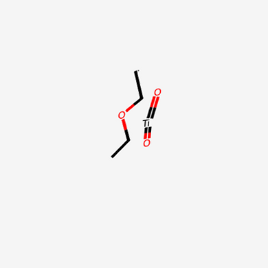 [CH2]COCC.[O]=[Ti]=[O]